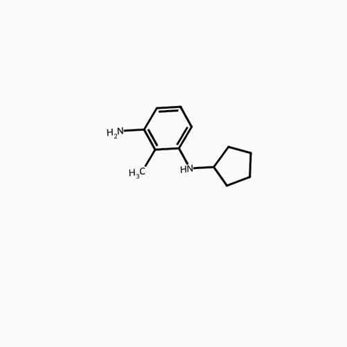 Cc1c(N)cccc1NC1CCCC1